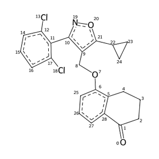 O=C1CCCc2c(OCc3c(-c4c(Cl)cccc4Cl)noc3C3CC3)cccc21